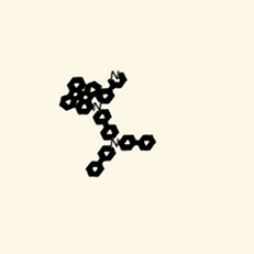 c1ccc(-c2ccc(N(c3ccc(-c4ccccc4)cc3)c3ccc(-c4ccc(N(c5ccc(-c6cccnc6)cc5)c5cccc6c5-c5ccccc5C65c6ccccc6-c6ccccc65)cc4)cc3)cc2)cc1